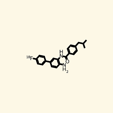 CC(C)Cc1ccc(C(=O)Nc2cc(-c3ccc([18F])cc3)ccc2N)cc1